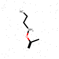 C=C(C)O[SiH2]CCC#N